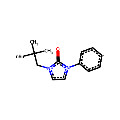 CCCCC(C)(C)Cn1ccn(-c2cc[c]cc2)c1=O